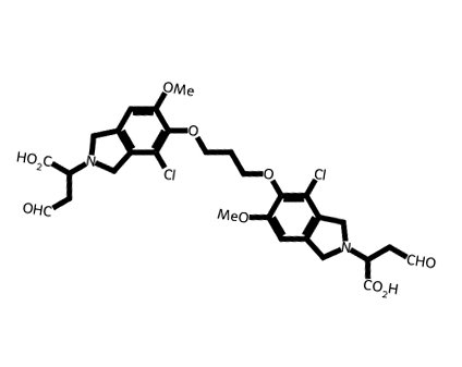 COc1cc2c(c(Cl)c1OCCCOc1c(OC)cc3c(c1Cl)CN(C(CC=O)C(=O)O)C3)CN(C(CC=O)C(=O)O)C2